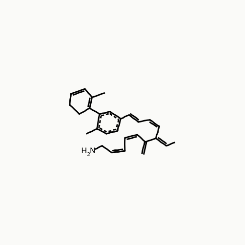 C=C(/C=C\C=C/CN)C(/C=C\C=C\c1ccc(C)c(C2=C(C)C=CCC2)c1)=C/C